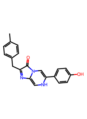 Cc1ccc(Cc2nc3c[nH]c(-c4ccc(O)cc4)cn-3c2=O)cc1